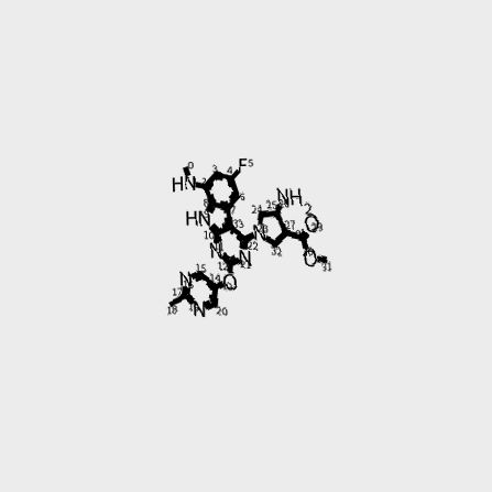 CNc1cc(F)cc2c1[nH]c1nc(Oc3cnc(C)nc3)nc(N3CC(N)C(C(=O)OC)C3)c12